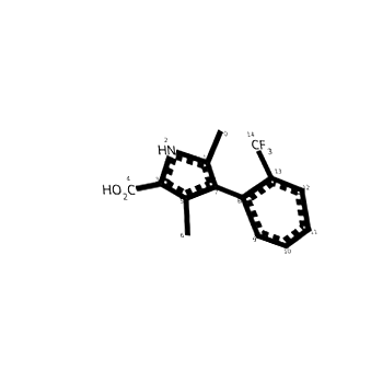 Cc1[nH]c(C(=O)O)c(C)c1-c1ccccc1C(F)(F)F